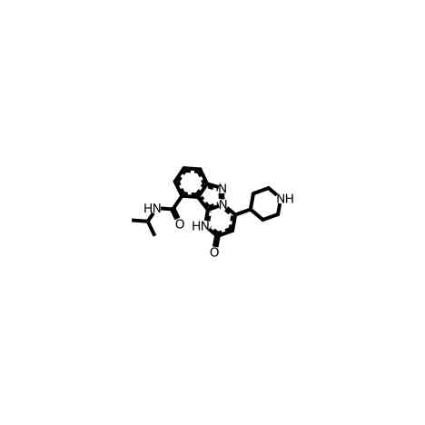 CC(C)NC(=O)c1cccc2nn3c(C4CCNCC4)cc(=O)[nH]c3c12